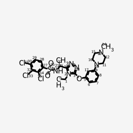 CCn1c(Oc2cccc(N3CCN(C)CC3)c2)nnc1[C@@H](C)NS(=O)(=O)c1ccc(Cl)c(Cl)c1Cl